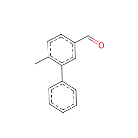 Cc1ccc(C=O)cc1-c1ccccc1